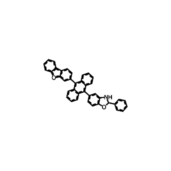 c1ccc(C2Nc3cc(-c4c5ccccc5c(-c5ccc6c(c5)oc5ccccc56)c5ccccc45)ccc3O2)cc1